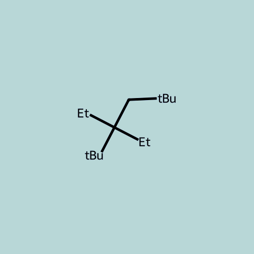 CCC(CC)(CC(C)(C)C)C(C)(C)C